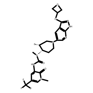 CN(C(=O)Nc1cc(C(F)(F)F)cn(C)c1=O)[C@H]1CCN(c2cnc3[nH]nc(OC4COC4)c3c2)C[C@H]1F